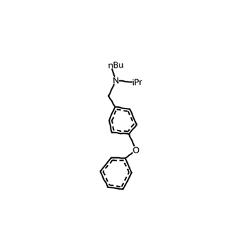 CCCCN(Cc1ccc(Oc2ccccc2)cc1)C(C)C